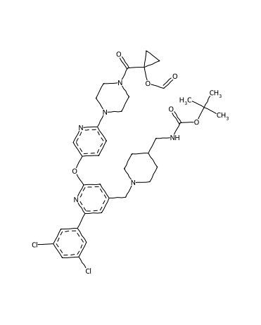 CC(C)(C)OC(=O)NCC1CCN(Cc2cc(Oc3ccc(N4CCN(C(=O)C5(OC=O)CC5)CC4)nc3)nc(-c3cc(Cl)cc(Cl)c3)c2)CC1